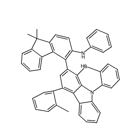 Cc1ccccc1-c1cc(-c2c(Nc3ccccc3)ccc3c2-c2ccccc2C3(C)C)c2c3c1c1ccccc1n3-c1ccccc1B2